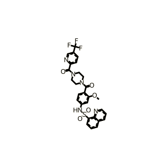 COc1cc(NS(=O)(=O)c2cccc3cccnc23)ccc1C(=O)N1CCN(C(=O)c2ccc(C(F)(F)F)cn2)CC1